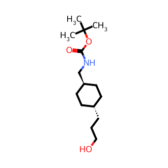 CC(C)(C)OC(=O)NC[C@H]1CC[C@H](CCCO)CC1